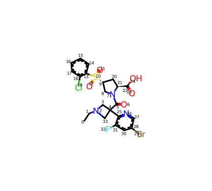 CCN1CC(C(=O)N2C[C@H](S(=O)(=O)c3ccccc3Cl)C[C@H]2C(=O)O)(c2ncc(Br)cc2F)C1